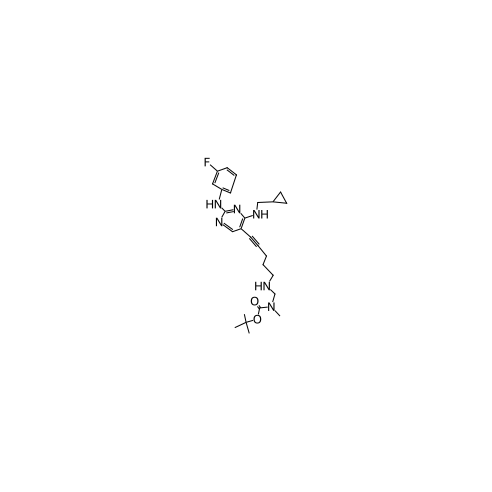 CN(CNCCCC#Cc1cnc(Nc2cccc(F)c2)nc1NCC1CC1)C(=O)OC(C)(C)C